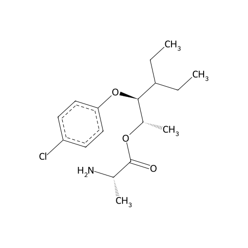 CCC(CC)[C@H](Oc1ccc(Cl)cc1)[C@H](C)OC(=O)[C@H](C)N